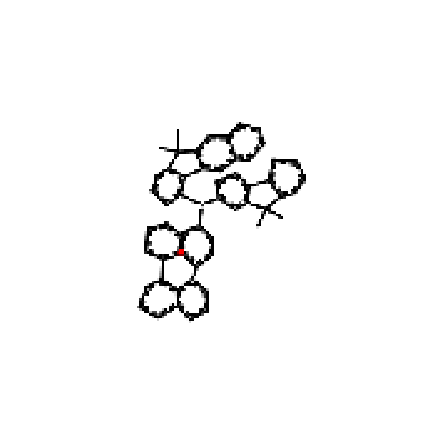 CC1(C)c2ccccc2-c2ccc(N(c3ccc(-c4cccc5cccc(-c6ccccc6)c45)cc3)c3cccc4c3-c3cc5ccccc5cc3C4(C)C)cc21